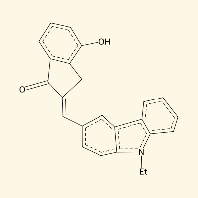 CCn1c2ccccc2c2cc(C=C3Cc4c(O)cccc4C3=O)ccc21